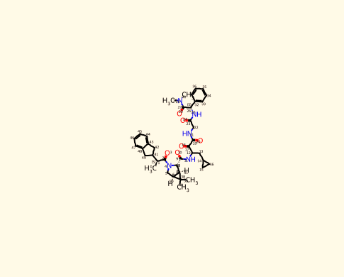 C[C@H](C(=O)N1C[C@H]2[C@@H]([C@H]1C(=O)NC(CC1CC1)C(=O)C(=O)NCC(=O)N[C@H](C(=O)N(C)C)c1ccccc1)C2(C)C)C1Cc2ccccc2C1